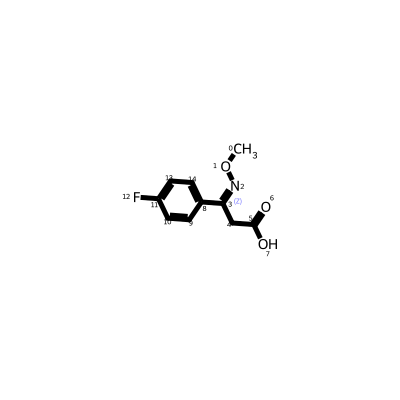 CO/N=C(/CC(=O)O)c1ccc(F)cc1